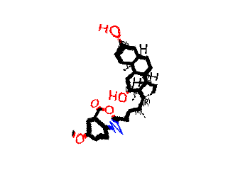 COc1ccc2nc(CC[C@@H](C)[C@H]3CC[C@H]4[C@@H]5CC[C@@H]6C[C@H](O)CC[C@]6(C)C5C[C@H](O)[C@]34C)oc(=O)c2c1